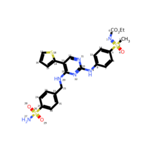 CCOC(=O)N=S(C)(=O)c1ccc(Nc2ncc(-c3cccs3)c(NCc3ccc(S(N)(=O)=O)cc3)n2)cc1